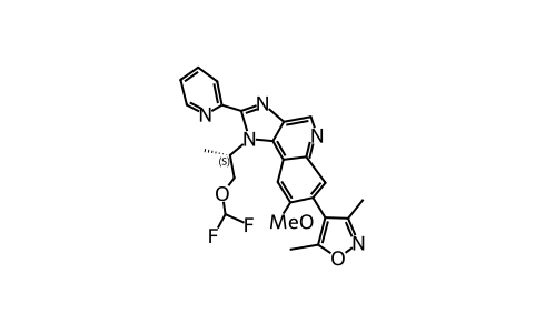 COc1cc2c(cc1-c1c(C)noc1C)ncc1nc(-c3ccccn3)n([C@@H](C)COC(F)F)c12